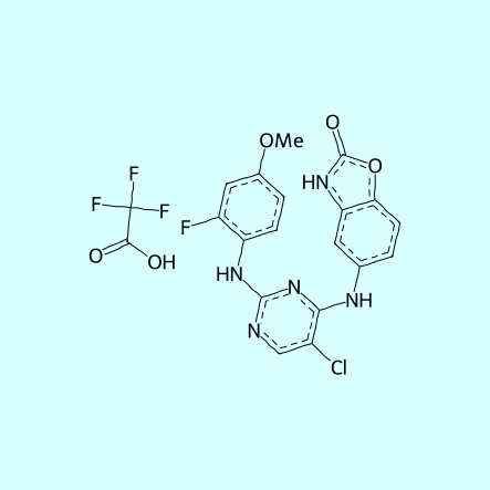 COc1ccc(Nc2ncc(Cl)c(Nc3ccc4oc(=O)[nH]c4c3)n2)c(F)c1.O=C(O)C(F)(F)F